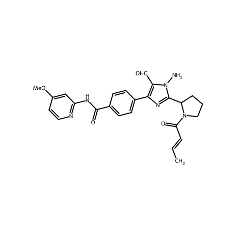 C/C=C/C(=O)N1CCCC1c1nc(-c2ccc(C(=O)Nc3cc(OC)ccn3)cc2)c(C=O)n1N